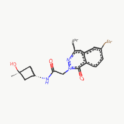 CC(C)c1nn(CC(=O)N[C@H]2C[C@](C)(O)C2)c(=O)c2ccc(Br)cc12